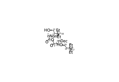 CCCCCCCCCCCC(=O)OC(=O)CCCCCCCCC.CC[N+](C)(CC)CCO.CC[N+](C)(CC)CCO